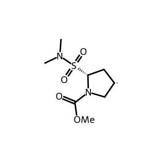 COC(=O)N1C[CH]C[C@H]1S(=O)(=O)N(C)C